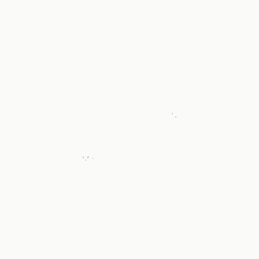 [CH2]Oc1cccc(C#N)c1